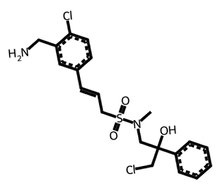 CN(CC(O)(CCl)c1ccccc1)S(=O)(=O)CC=Cc1ccc(Cl)c(CN)c1